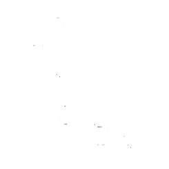 NC(=O)c1ccc(Oc2ccc(CCN3CCC(C(=O)c4ccccc4)CC3)cc2)nc1